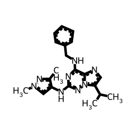 Cc1nn(C)cc1Nc1nc(NCc2ccccc2)c2ncc(C(C)C)n2n1